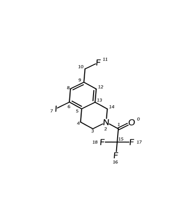 O=C(N1CCc2c(I)cc(CF)cc2C1)C(F)(F)F